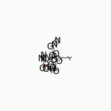 COC(=O)/C(C)=C\CC1(O)C(=O)C2CC(C(C)C)C13Oc1c(CC=C(C)C)c4c(c(OC(=O)CCC(=O)N5CCN(C)CC5)c1C1=C3C2n2ncnc2N1)C=CC(C)(CCC=C(C)C)O4